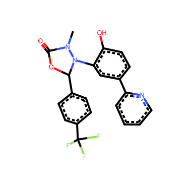 CN1C(=O)OC(c2ccc(C(F)(F)F)cc2)N1c1cc(-c2ccccn2)ccc1O